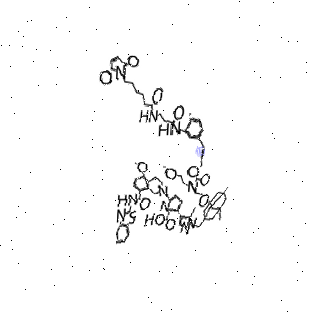 COCCN(CCOC12CC3(C)CC(C)(CC(Cn4ncc(-c5ccc(N6CCc7c(OC)ccc(C(=O)Nc8nc9ccccc9s8)c7C6)nc5C(=O)O)c4C)(C3)C1)C2)C(=O)OC/C=C/c1cc[c]c(NC(=O)CCNC(=O)CCCCCN2C(=O)C=CC2=O)c1